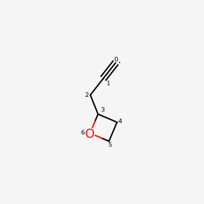 [C]#CCC1CCO1